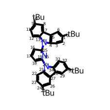 CC(C)(C)c1ccc2c(c1)c1cc(C(C)(C)C)ccc1n2-c1cccc(-n2c3ccc(C(C)(C)C)cc3c3cc(C(C)(C)C)ccc32)n1